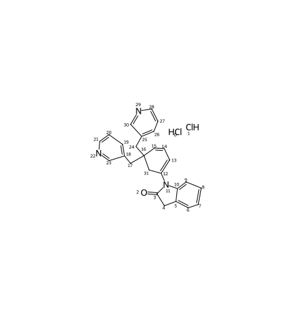 Cl.Cl.O=C1Cc2ccccc2N1C1=CC=CC(Cc2cccnc2)(Cc2cccnc2)C1